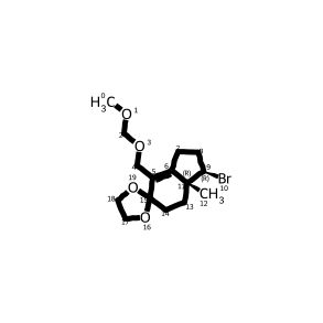 COCOCC1=C2CC[C@@H](Br)[C@]2(C)CCC12OCCO2